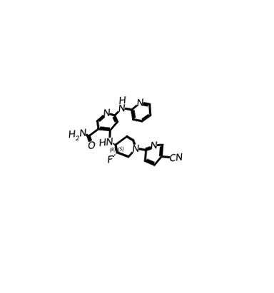 N#Cc1ccc(N2CC[C@@H](Nc3cc(Nc4ccccn4)ncc3C(N)=O)[C@@H](F)C2)nc1